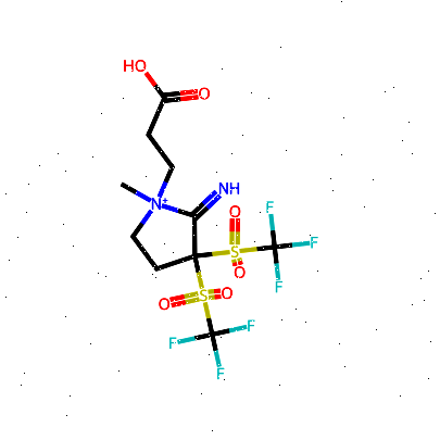 C[N+]1(CCC(=O)O)CCC(S(=O)(=O)C(F)(F)F)(S(=O)(=O)C(F)(F)F)C1=N